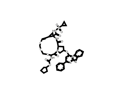 O=C(NC1CCCCC/C=C/C2CC2(C(=O)NS(=O)(=O)C2CC2)NC(=O)C2CC(Oc3cc(-c4ccccc4)nc4nc5ccccc5n34)CN2C1=O)OC1CCCC1